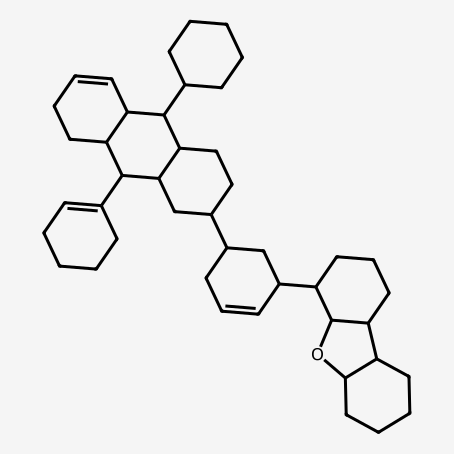 C1=CC2C(CC1)C(C1=CCCCC1)C1CC(C3CC=CC(C4CCCC5C6CCCCC6OC45)C3)CCC1C2C1CCCCC1